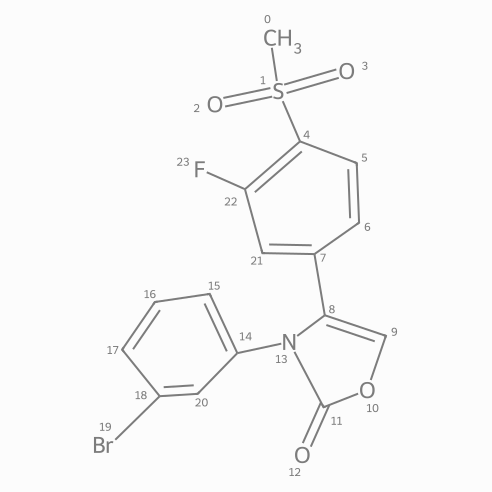 CS(=O)(=O)c1ccc(-c2coc(=O)n2-c2cccc(Br)c2)cc1F